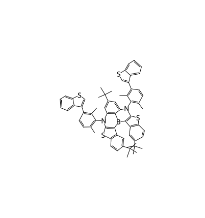 Cc1ccc(-c2csc3ccccc23)c(C)c1N1c2cc(C(C)(C)C)cc3c2B(c2c1sc1ccc(C(C)(C)C)cc21)c1c(sc2ccc(C(C)(C)C)cc12)N3c1c(C)ccc(-c2csc3ccccc23)c1C